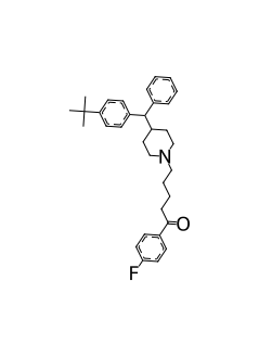 CC(C)(C)c1ccc(C(c2ccccc2)C2CCN(CCCCC(=O)c3ccc(F)cc3)CC2)cc1